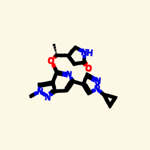 C[C@@H](Oc1nc(-c2cnn(C3CC3)c2)cc2nn(C)cc12)C1CNC(=O)C1